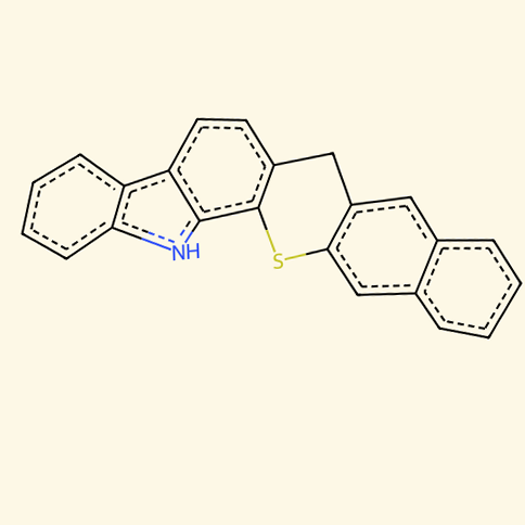 c1ccc2cc3c(cc2c1)Cc1ccc2c([nH]c4ccccc42)c1S3